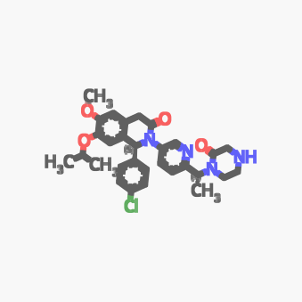 COc1cc2c(cc1OC(C)C)[C@H](c1ccc(Cl)cc1)N(c1ccc([C@@H](C)N3CCNCC3=O)nc1)C(=O)C2